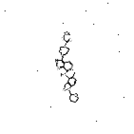 Cc1ccc2c(cnn2C2CCCCO2)c1Nc1nccc2c(N3CCN(C(=O)OC(C)(C)C)CC3)ncnc12